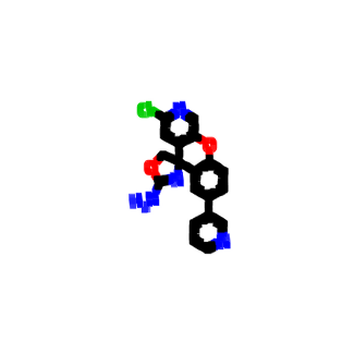 NC1=NC2(CO1)c1cc(-c3cccnc3)ccc1Oc1cnc(Cl)cc12